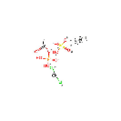 CC(=O)OP(=O)(O)O.O=S(=O)(O)O.[CaH2].[CaH2].[CaH2].[Cl][Ca][Cl]